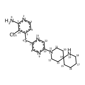 Nc1nccc(Sc2cnc(N3CCC4(CCCCN4)CC3)cn2)c1Cl